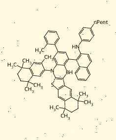 CCCCCc1ccc(Nc2ccc3ccccc3c2-c2cc(-c3ccccc3C)cc3c2Bc2c(sc4cc5c(cc24)C(C)(C)CCC5(C)C)N3c2cc3c(cc2C)C(C)(C)CCC3(C)C)cc1